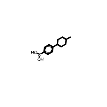 CC1CCC(c2ccc(B(O)O)cc2)CC1